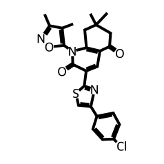 Cc1noc(-n2c3c(cc(-c4nc(-c5ccc(Cl)cc5)cs4)c2=O)C(=O)CC(C)(C)C3)c1C